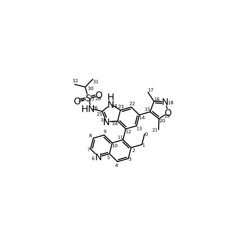 CCc1ccc2ncccc2c1-c1cc(-c2c(C)noc2C)cc2[nH]c(NS(=O)(=O)C(C)C)nc12